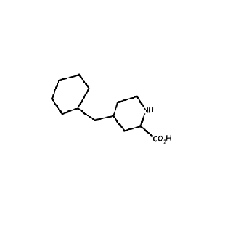 O=C(O)C1CC(CC2CCCCC2)CCN1